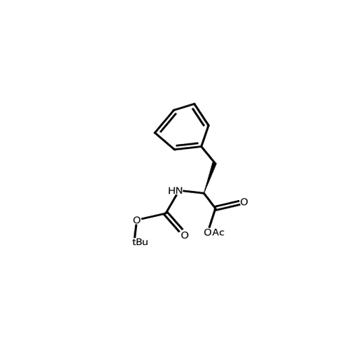 CC(=O)OC(=O)[C@H](Cc1ccccc1)NC(=O)OC(C)(C)C